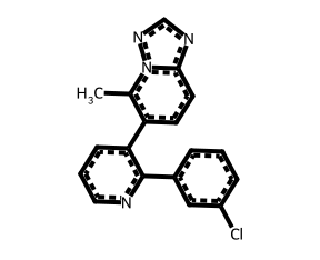 Cc1c(-c2cccnc2-c2cccc(Cl)c2)ccc2ncnn12